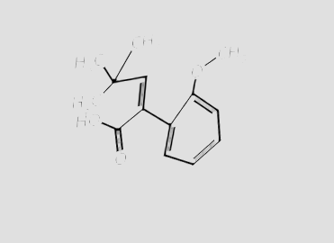 COc1ccccc1C(=CC(C)(C)C)C(=O)O